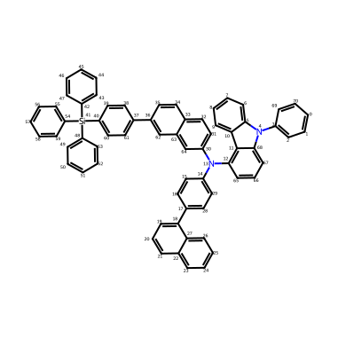 c1ccc(-n2c3ccccc3c3c(N(c4ccc(-c5cccc6ccccc56)cc4)c4ccc5ccc(-c6ccc([Si](c7ccccc7)(c7ccccc7)c7ccccc7)cc6)cc5c4)cccc32)cc1